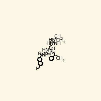 CC[C@H](CN1CC[C@@H](CNC(=O)c2ccc3cc(CI)ccc3c2)N[C@@H](CCNC(=N)NC(C)C)C1=O)c1ccccc1